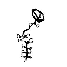 O=C(OCCS(=O)(=O)NC(=O)C(F)(F)C(F)(F)C(F)(F)F)C12CC3CC(CC(C3)C1)C2